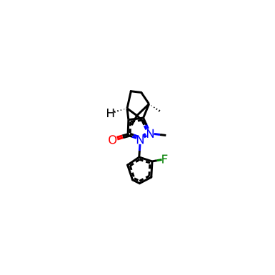 Cn1c2c(c(=O)n1-c1ccccc1F)[C@H]1CC[C@]2(C)C1(C)C